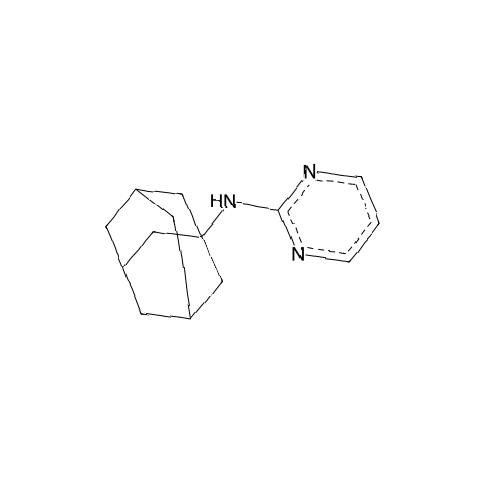 c1cnc(NC23CC4CC(CC(C4)C2)C3)nc1